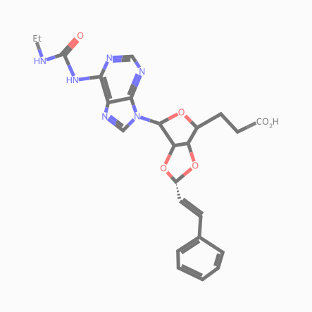 CCNC(=O)Nc1ncnc2c1ncn2C1OC(CCC(=O)O)C2O[C@H](/C=C/c3ccccc3)OC21